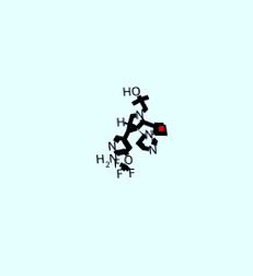 CC(C)(O)CN1C[C@H]2C(c3cnc(N)c(OC(F)(F)F)c3)[C@]2(c2ccncn2)C1N1CC2CC1C2